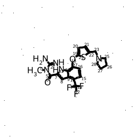 CN(C(=N)N)C(=O)c1cc2c(C(F)(F)F)ccc(Oc3ccc(CN4CCCC4)s3)c2[nH]1